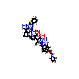 CC1=C(Nc2nc3ccccc3s2)NNC2=C1CCCN2c1ccc(/C(C=N)=C(\C)NCC23CC4(C)CC5(OCCN6CCCC6)CC(C)(C2)C45C3)c(C(O)O)n1